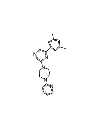 Cc1cc(C)cc(-c2cncc(N3CCN(c4cnccn4)CC3)n2)c1